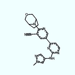 Cn1cc(Nc2nccc(-c3cnc(N4C5CCC4COC5)c(C#N)c3)n2)cn1